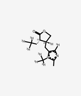 [2H]c1nc(C)n(C([2H])([2H])[2H])c1C[C@@]1([2H])COC(=O)[C@H]1CC([2H])([2H])[2H]